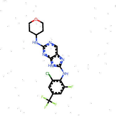 Fc1cc(C(F)(F)F)cc(Cl)c1Nc1nc2cnc(NC3CCOCC3)nc2[nH]1